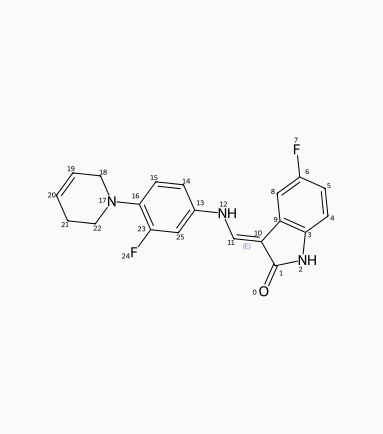 O=C1Nc2ccc(F)cc2/C1=C\Nc1ccc(N2CC=CCC2)c(F)c1